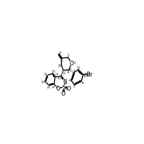 C=C1CO[C@H](c2cccc(Br)c2)C(C2=NS(=O)(=O)Oc3ccccc32)C1